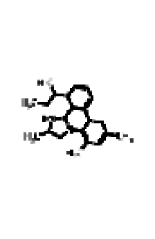 CCC(C)C1C=CC=C2C3CC(C)=CC(C)=C3N3CC(C)NC3C21